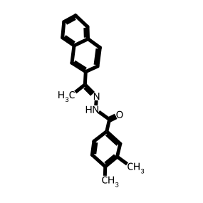 C/C(=N\NC(=O)c1ccc(C)c(C)c1)c1ccc2ccccc2c1